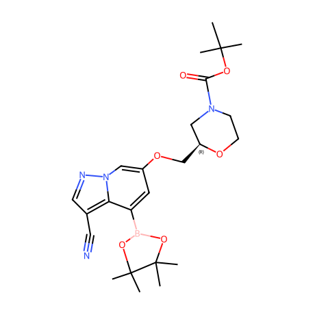 CC(C)(C)OC(=O)N1CCO[C@@H](COc2cc(B3OC(C)(C)C(C)(C)O3)c3c(C#N)cnn3c2)C1